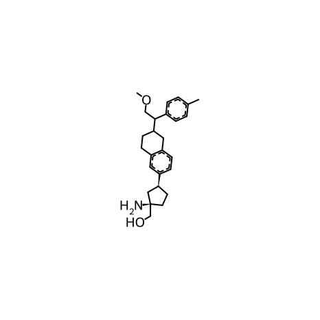 COCC(c1ccc(C)cc1)C1CCc2cc([C@H]3CC[C@](N)(CO)C3)ccc2C1